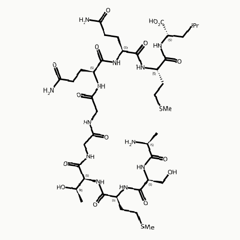 CSCC[C@H](NC(=O)[C@H](CCC(N)=O)NC(=O)[C@H](CCC(N)=O)NC(=O)CNC(=O)CNC(=O)[C@@H](NC(=O)[C@H](CCSC)NC(=O)[C@H](CO)NC(=O)[C@H](C)N)[C@@H](C)O)C(=O)N[C@@H](CC(C)C)C(=O)O